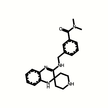 CN(C)C(=O)c1cccc(CNC2=Nc3ccccc3NC23CCNCC3)c1